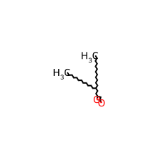 CCCCCCCCCCCCC(CCCCCCCCCCCC)CCC1CC(=O)O1